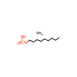 CCCCCCCCCO[PH](=O)O.[SiH4]